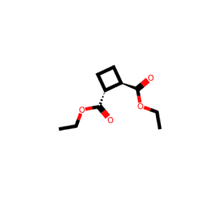 CCOC(=O)[C@@H]1CC[C@H]1C(=O)OCC